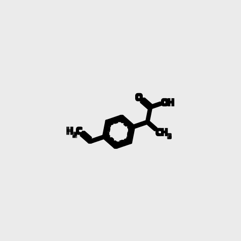 C=Cc1ccc(C(C)C(=O)O)cc1